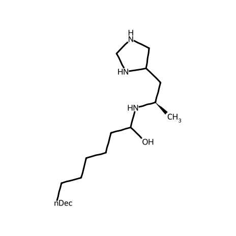 CCCCCCCCCCCCCCCC(O)N[C@H](C)CC1CNCN1